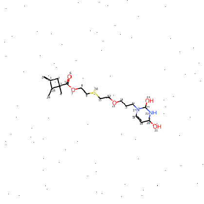 CC1CC(C)(C(=O)OCCSCCOCCCN2C=CC(O)NC2O)C1C